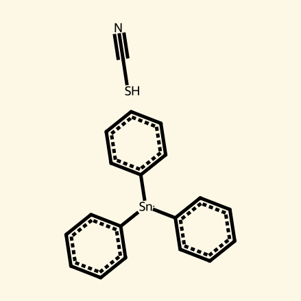 N#CS.c1cc[c]([Sn]([c]2ccccc2)[c]2ccccc2)cc1